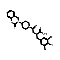 Cc1cc(CC(CC(=O)N2CCC(N3Cc4ccccc4NC3=O)CC2)C(=O)O)cc(Br)c1Cl